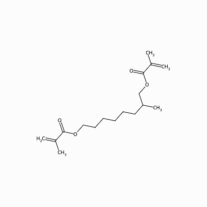 C=C(C)C(=O)OCCCCCCC(C)COC(=O)C(=C)C